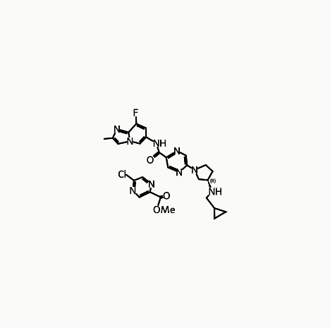 COC(=O)c1cnc(Cl)cn1.Cc1cn2cc(NC(=O)c3cnc(N4CC[C@@H](NCC5CC5)C4)cn3)cc(F)c2n1